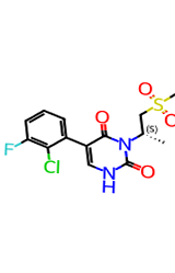 C[C@@H](CS(C)(=O)=O)n1c(=O)[nH]cc(-c2cccc(F)c2Cl)c1=O